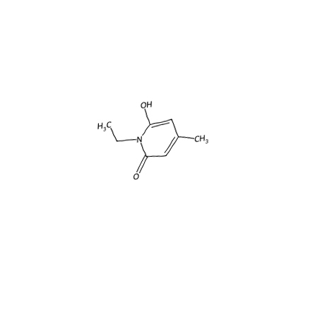 CCn1c(O)cc(C)cc1=O